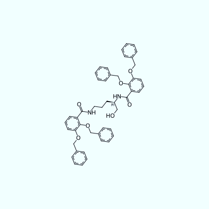 O=C(NCCC[C@H](CO)NC(=O)c1cccc(OCc2ccccc2)c1OCc1ccccc1)c1cccc(OCc2ccccc2)c1OCc1ccccc1